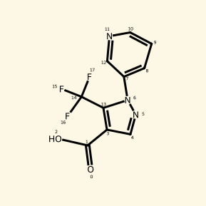 O=C(O)c1cnn(-c2cccnc2)c1C(F)(F)F